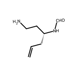 C=CC[C@H](CCN)NC=O